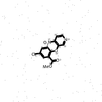 COC(=O)c1cc(Cl)ccc1Oc1cnccc1[N+](=O)[O-]